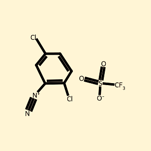 N#[N+]c1cc(Cl)ccc1Cl.O=S(=O)([O-])C(F)(F)F